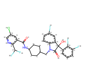 O=C(NC1CCC(CN2C(=O)C(O)(c3cccc(F)c3F)c3cc(F)ccc32)CC1)c1cc(Cl)cnc1C(F)F